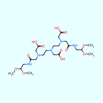 COC(CNC(=O)CN(CCN(CCN(CC(=O)O)CC(=O)NCC(OC)OC)CC(=O)O)CC(=O)O)OC